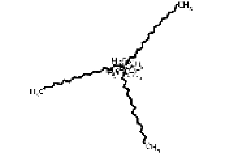 CCCCCCCCCCCCCCCCC(C)(C)[Si](O)(C(C)(C)CCCCCCCCCCCCCCCC)C(C)(C)CCCCCCCCCCCCCCCC